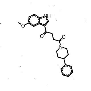 COc1ccc2[nH]cc(C(=O)CCC(=O)N3CCC(c4ccccc4)CC3)c2c1